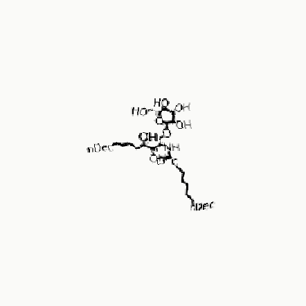 CCCCCCCCCCCCCCCCCC(=O)N[C@@H](CO[C@H]1O[C@H](CO)[C@H](O)[C@H](O)[C@H]1O)[C@H](O)[C@H](O)CCCCCCCCCCCCCC